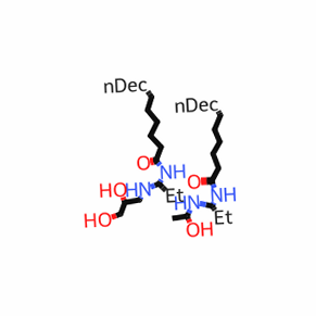 CCCCCCCCCCCCCCCC(=O)NC(CC)NC(C)O.CCCCCCCCCCCCCCCC(=O)NC(CC)NCC(O)CO